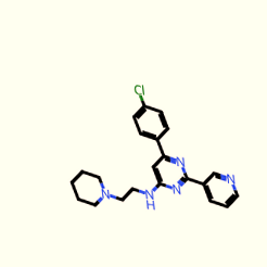 Clc1ccc(-c2cc(NCCN3CCCCC3)nc(-c3cccnc3)n2)cc1